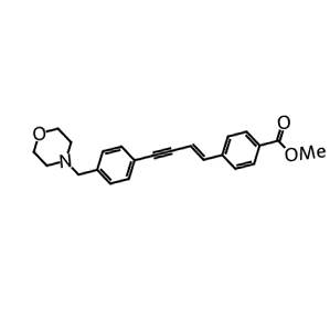 COC(=O)c1ccc(/C=C/C#Cc2ccc(CN3CCOCC3)cc2)cc1